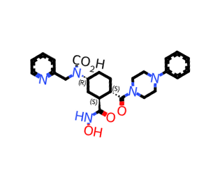 O=C(NO)[C@H]1C[C@H](N(Cc2ccccn2)C(=O)O)CC[C@@H]1C(=O)N1CCN(c2ccccc2)CC1